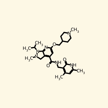 Cc1cc(C)c(CNC(=O)c2cc(OCC3CCN(C)CC3)nc3c2CN(C)N3C(C)C)c(=O)[nH]1